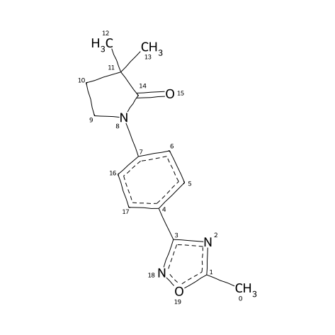 Cc1nc(-c2ccc(N3CCC(C)(C)C3=O)cc2)no1